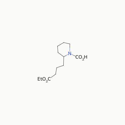 CCOC(=O)CCCC1CCCCN1C(=O)O